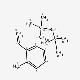 C=Cc1ccccc1C.C[Si](C)(C)N[Si](C)(C)C